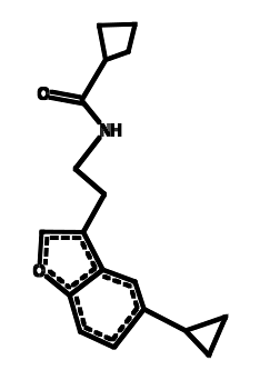 O=C(NCCc1coc2ccc(C3CC3)cc12)C1CCC1